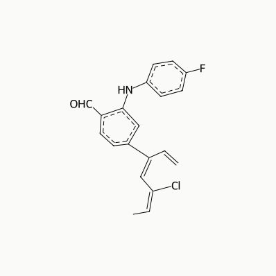 C=C/C(=C\C(Cl)=C/C)c1ccc(C=O)c(Nc2ccc(F)cc2)c1